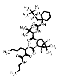 CCCCC(NC(=O)[C@@H]1[C@@H]2[C@H](CN1C(=O)[C@@H](NC(=O)NC1(CS(=O)(=O)C(C)(C)C)CCCCC1)C(C)(C)C)C2(C)C)C(=O)C(=O)NCCC